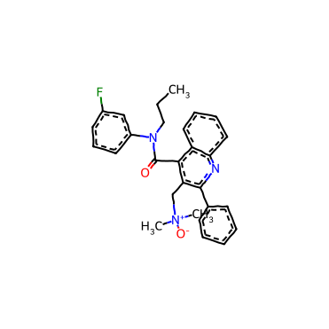 CCCN(C(=O)c1c(C[N+](C)(C)[O-])c(-c2ccccc2)nc2ccccc12)c1cccc(F)c1